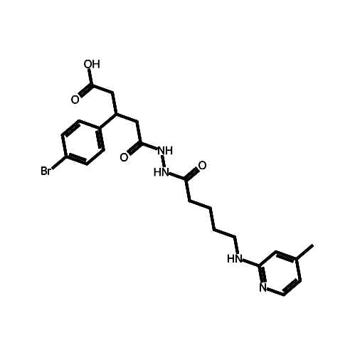 Cc1ccnc(NCCCCC(=O)NNC(=O)CC(CC(=O)O)c2ccc(Br)cc2)c1